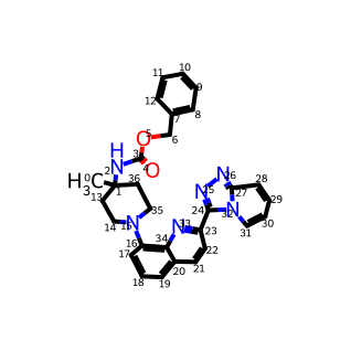 CC1(NC(=O)OCc2ccccc2)CCN(c2cccc3ccc(-c4nnc5ccccn45)nc23)CC1